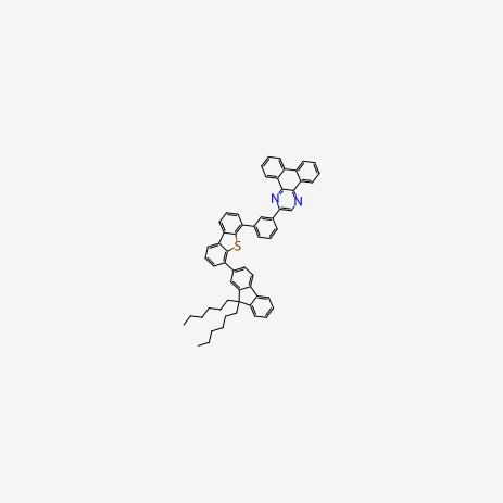 CCCCCCC1(CCCCCC)c2ccccc2-c2ccc(-c3cccc4c3sc3c(-c5cccc(-c6cnc7c8ccccc8c8ccccc8c7n6)c5)cccc34)cc21